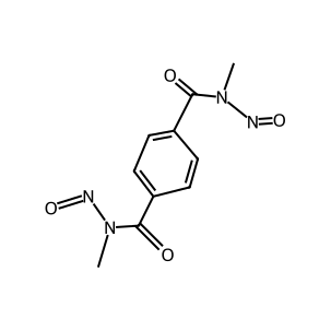 CN(N=O)C(=O)c1ccc(C(=O)N(C)N=O)cc1